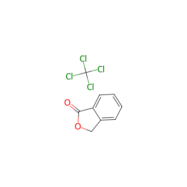 ClC(Cl)(Cl)Cl.O=C1OCc2ccccc21